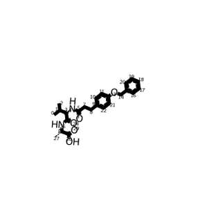 CC(C)[C@H](NC(=O)CCc1ccc(OCc2ccccc2)cc1)C(=O)N[C@@H](C)C(=O)O